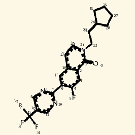 O=c1c2cc(F)c(-c3ncc(C(F)(F)F)cn3)cc2ccn1CCC1CCCC1